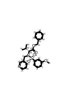 COc1cccc(S(=O)(=O)N(Cc2cccnc2)[C@@H](C(=O)OCc2ccccc2)C(C)C)c1